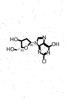 OC[C@H]1O[C@@H](n2cnc3c(O)nc(Cl)nc32)CC1O